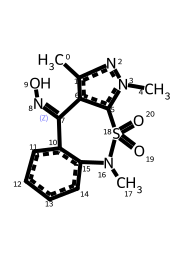 Cc1nn(C)c2c1/C(=N\O)c1ccccc1N(C)S2(=O)=O